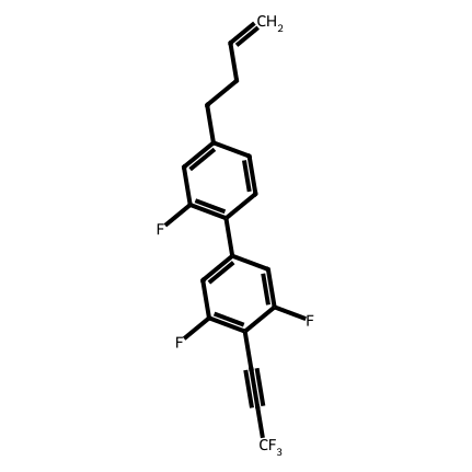 C=CCCc1ccc(-c2cc(F)c(C#CC(F)(F)F)c(F)c2)c(F)c1